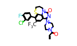 C=CC(=O)N1CCN(c2nc(=O)n3c4c(c(-c5ccc(F)c(Cl)c5)c(C(F)(F)F)cc24)SCCC3)CC1